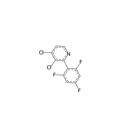 Fc1[c]c(F)c(-c2nccc(Cl)c2Cl)c(F)c1